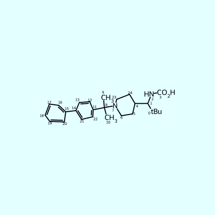 CC(C)(C)C(NC(=O)O)C1CCN(C(C)(C)c2ccc(-c3ccccc3)cc2)CC1